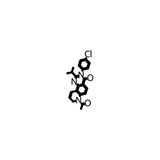 CC(=O)N1CC=Cc2c1ccc1c(=O)n(-c3ccc(Cl)cc3)c(C(C)C)nc21